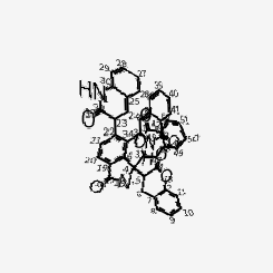 O=C1OC(C2(C3Cc4ccccc4OC3=O)[N]C(=O)c3ccc(C4C=C5C=CC=CC5NC4=O)c(C4C=C5C=CC=CC5C(=O)N4)c32)Cc2ccccc21